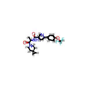 CC(NC(=O)c1ccc(-c2ccc(OC(F)(F)F)cc2)nc1)C(=O)N1CCC2(CC1)CC2